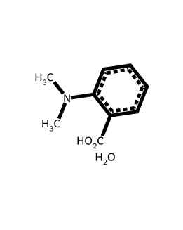 CN(C)c1ccccc1C(=O)O.O